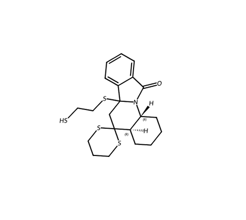 O=C1c2ccccc2C2(SCCS)CC3(SCCCS3)[C@@H]3CCCC[C@H]3N12